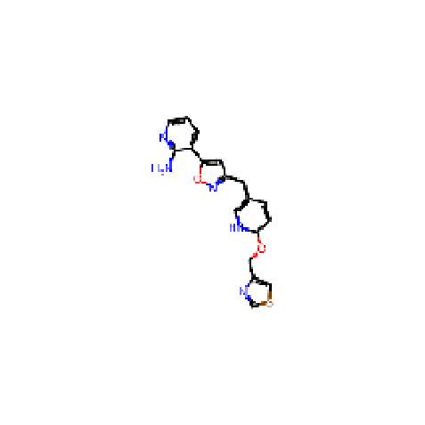 Nc1ncccc1-c1cc(CC2=CNC(OCc3cscn3)C=C2)no1